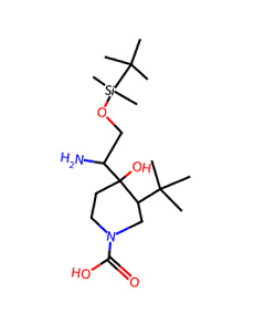 CC(C)(C)C1CN(C(=O)O)CCC1(O)C(N)CO[Si](C)(C)C(C)(C)C